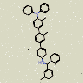 CC1C=C(C(NC2CC=C(C3=CC(C)C(C4=CC(C)C(N(C5=CC=CCC5)c5ccccc5)C=C4)C=C3)CC2)C2C=CC=CC2)C=CC1